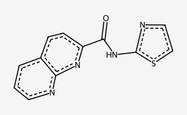 O=C(Nc1nccs1)c1ccc2cccnc2n1